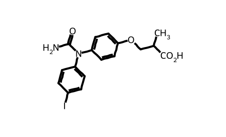 CC(COc1ccc(N(C(N)=O)c2ccc(I)cc2)cc1)C(=O)O